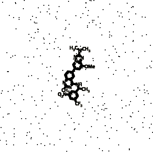 COc1cc(-c2ccc3nc(C)nc(NC(C)c4cc([N+](=O)[O-])cc(C(F)(F)F)c4)c3c2)cn2nc(N(C)C)nc12